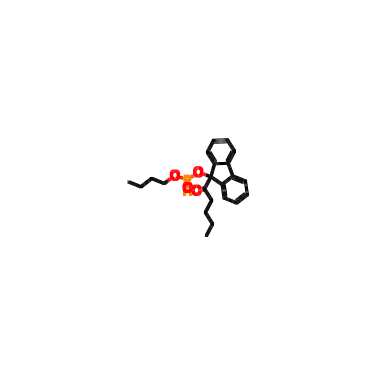 CCCCO[PH](=O)OC1(C(=O)CCCC)c2ccccc2-c2ccccc21